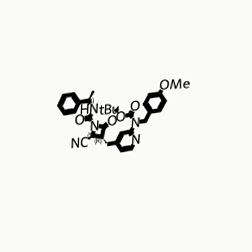 COc1ccc(CN(C(=O)OC(C)(C)C)c2cc(C[C@H]3C(=O)N(C(=O)N[C@H](C)c4ccccc4)[C@@H]3C#N)ccn2)cc1